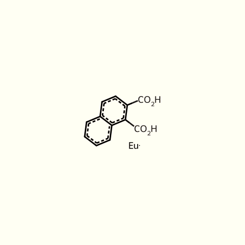 O=C(O)c1ccc2ccccc2c1C(=O)O.[Eu]